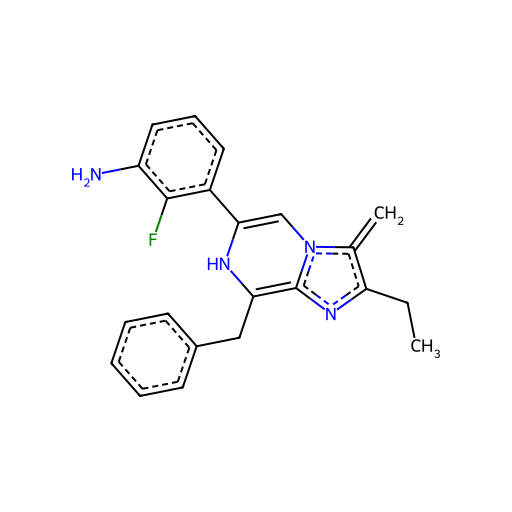 C=c1c(CC)nc2n1C=C(c1cccc(N)c1F)NC=2Cc1ccccc1